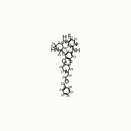 CC1(C)CC(Nc2nc(Nc3ccc(OC4CCN(CCOCc5ccccc5)CC4)c(F)c3)ncc2F)CC(C)(C)N1